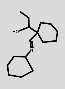 CCC(O)C1(C=NC2CCCCC2)CCCCC1